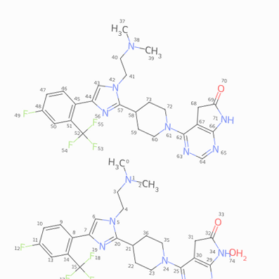 CN(C)CCn1cc(-c2ccc(F)cc2C(F)(F)F)nc1C1CCN(c2ncnc3c2CC(=O)N3)CC1.CN(C)CCn1cc(-c2ccc(F)cc2C(F)(F)F)nc1C1CCN(c2ncnc3c2CC(=O)N3)CC1.O